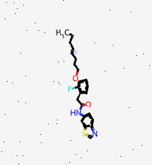 CCC/C=C/CCCOc1cccc(CC(=O)Nc2ccc3ncsc3c2)c1F